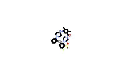 Cc1cc(C)c(C(=O)N2CCN(c3cccc(F)c3[S@+](C)[O-])CC2)cc1NC1CCN(c2ccccc2C#N)CC1